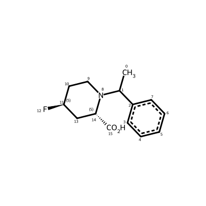 CC(c1ccccc1)N1CC[C@H](F)C[C@H]1C(=O)O